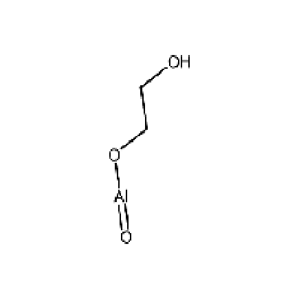 [O]=[Al][O]CCO